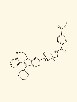 COC(=O)c1ccc(C(=O)NCC(C)(C)NC(=O)c2ccc3c(C4CCCCC4)c4n(c3c2)CCOc2ccccc2-4)cc1